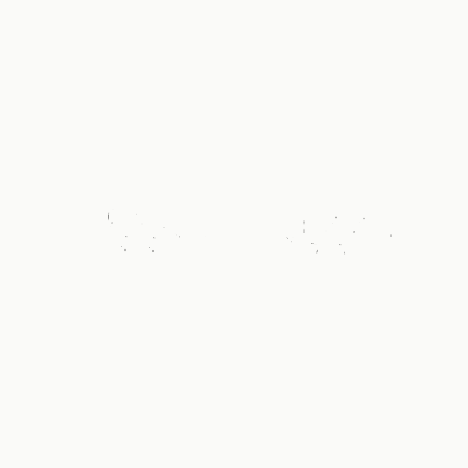 O=C(NCCCCCCCNC(=O)[C@H](O)[C@@H](O)[C@H](O)[C@H](O)CO)[C@H](O)[C@@H](O)[C@H](O)[C@H](O)CO